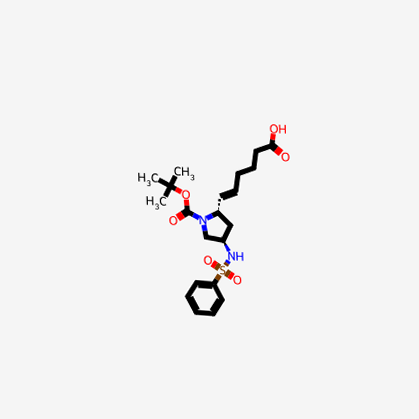 CC(C)(C)OC(=O)N1C[C@H](NS(=O)(=O)c2ccccc2)C[C@H]1C=CCCCC(=O)O